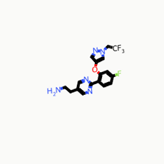 NCCc1cnc(-c2ccc(F)cc2Oc2cnn(CC(F)(F)F)c2)nc1